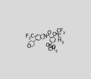 C[C@H](Oc1ccc(S(C)(=O)=O)cc1C(=O)N1Cc2cc(C3CCOCC3)c(C(F)(F)F)cc2C1)C(F)(F)F